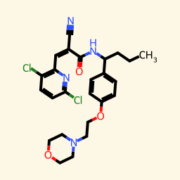 CCCC(NC(=O)C(C#N)=Cc1nc(Cl)ccc1Cl)c1ccc(OCCN2CCOCC2)cc1